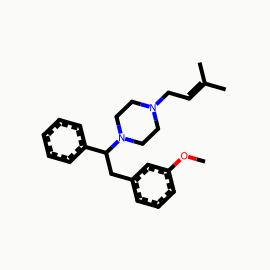 COc1cccc(CC(c2ccccc2)N2CCN(CC=C(C)C)CC2)c1